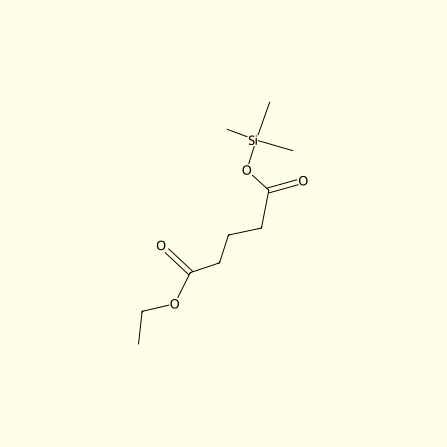 CCOC(=O)CCCC(=O)O[Si](C)(C)C